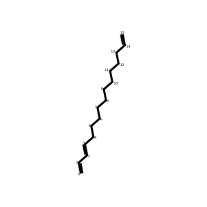 C=CC=CCCCCCCCCCCC=C